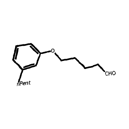 CCCCCc1cccc(OCCCCC=O)c1